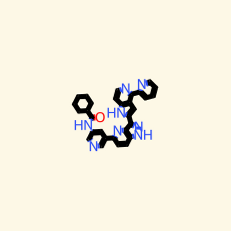 O=C(Nc1cncc(-c2ccc3[nH]nc(-c4cc5c(-c6ccccn6)nccc5[nH]4)c3n2)c1)C1CCCCC1